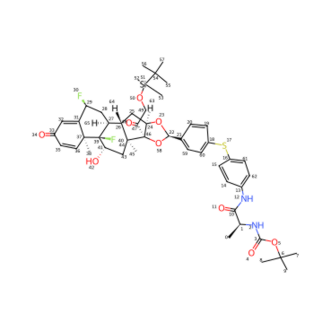 C[C@H](NC(=O)OC(C)(C)C)C(=O)Nc1ccc(Sc2ccc([C@@H]3O[C@@H]4C[C@H]5[C@@H]6C[C@H](F)C7=CC(=O)C=C[C@]7(C)[C@@]6(F)[C@@H](O)C[C@]5(C)[C@]4(C(=O)CO[Si](C)(C)C(C)(C)C)O3)cc2)cc1